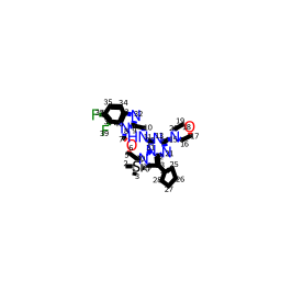 C[Si](C)(C)CCOCn1c(CNc2nc(N3CCOCC3)nc3c(C4CCCC4)cnn23)nc2ccc(F)c(F)c21